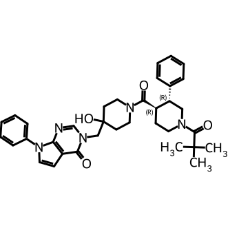 CC(C)(C)C(=O)N1CC[C@@H](C(=O)N2CCC(O)(Cn3cnc4c(ccn4-c4ccccc4)c3=O)CC2)[C@H](c2ccccc2)C1